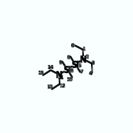 CCN(CC)[Si](C)(C)[Si](C)(C)N(CC)CC